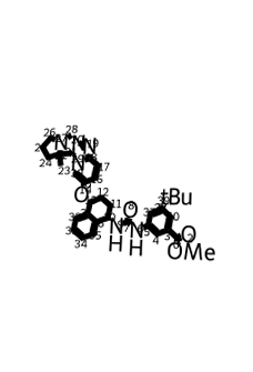 COC(=O)c1cc(NC(=O)N[C@H]2CC[C@@H](Oc3ccc4nnc(C5(C)CCCN5C)n4c3)c3ccccc32)cc(C(C)(C)C)c1